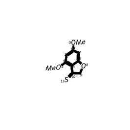 COc1cc(OC)c2c(c1)OCC2=S